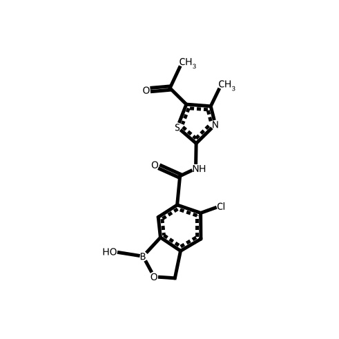 CC(=O)c1sc(NC(=O)c2cc3c(cc2Cl)COB3O)nc1C